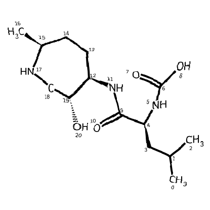 CC(C)C[C@H](NC(=O)O)C(=O)N[C@@H]1CC[C@H](C)NC[C@H]1O